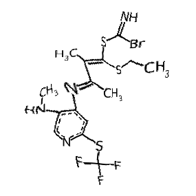 CCS/C(SC(=N)Br)=C(C)\C(C)=N\c1cc(SC(F)(F)F)ncc1NC